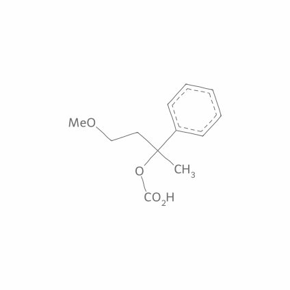 COCCC(C)(OC(=O)O)c1ccccc1